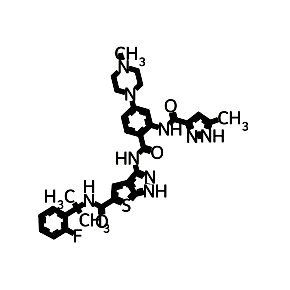 Cc1cc(C(=O)Nc2cc(N3CCN(C)CC3)ccc2C(=O)Nc2n[nH]c3sc(C(=O)NC(C)(C)c4ccccc4F)cc23)n[nH]1